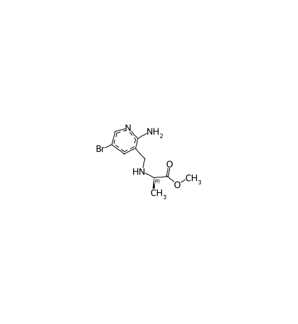 COC(=O)[C@@H](C)NCc1cc(Br)cnc1N